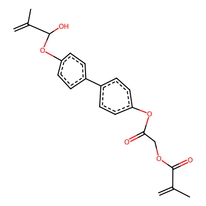 C=C(C)C(=O)OCC(=O)Oc1ccc(-c2ccc(OC(O)C(=C)C)cc2)cc1